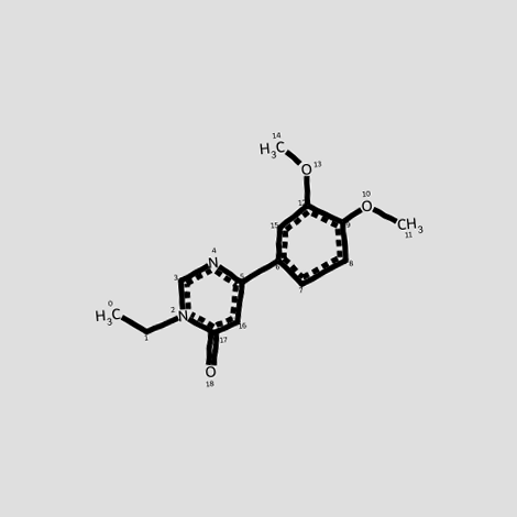 CCn1cnc(-c2ccc(OC)c(OC)c2)cc1=O